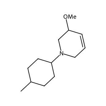 COC1C=CCN(C2CCC(C)CC2)C1